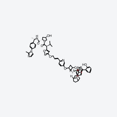 Cc1nccn1-c1ccc([C@H](C)NC(=O)[C@@H]2C[C@@H](O)CN2C(=O)[C@H](c2cc(OC/C=C/c3ccc(OC4CC(Oc5cc(N6C7CC[C@@H]6CN(c6cc(-c8ccccc8O)nnc6N)C7)ccn5)C4)cn3)no2)C(C)C)cc1